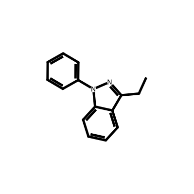 CCc1nn(-c2ccccc2)c2ccccc12